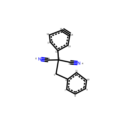 N#CC(C#N)(Cc1ccccc1)c1cc#ccc1